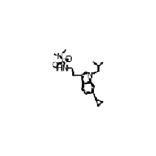 CC(C)Cn1cc(CCNS(=O)(=O)N(C)C)c2ccc(C3CC3)cc21